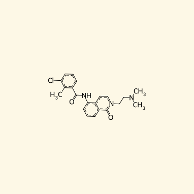 Cc1c(Cl)cccc1C(=O)Nc1cccc2c(=O)n(CCN(C)C)ccc12